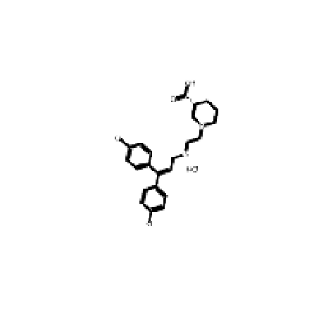 Cl.O=C(O)[C@@H]1CCCN(CCOCC=C(c2ccc(Cl)cc2)c2ccc(Cl)cc2)C1